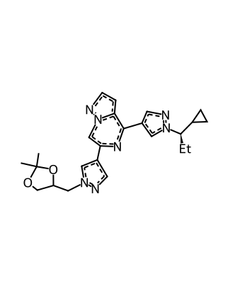 CC[C@H](C1CC1)n1cc(-c2nc(-c3cnn(CC4COC(C)(C)O4)c3)cn3nccc23)cn1